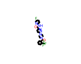 O=C(Nc1ccc(F)cn1)c1ccc(N2CCN(C(=O)c3ccccc3C(F)(F)F)CC2)nn1